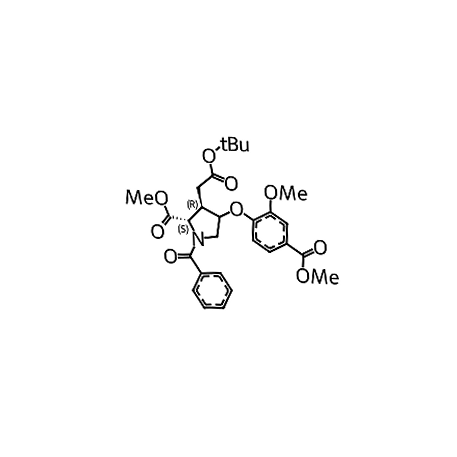 COC(=O)c1ccc(OC2CN(C(=O)c3ccccc3)[C@H](C(=O)OC)[C@H]2CC(=O)OC(C)(C)C)c(OC)c1